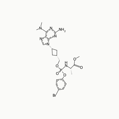 COC(=O)[C@H](C)NP(=O)(OC[C@H]1C[C@@H](n2cnc3c(N(C)C)nc(N)nc32)C1)Oc1ccc(Br)cc1